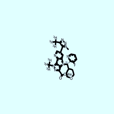 [2H]C([2H])([2H])c1nnn(C)c1-c1cnc2c3c(c(C(=O)OC)nn3C([2H])([2H])[2H])n([C@H](c3ncccc3F)C3CCOCC3)c2c1